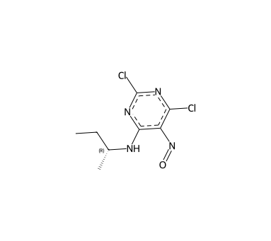 CC[C@@H](C)Nc1nc(Cl)nc(Cl)c1N=O